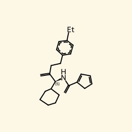 C=C(N[C@H](C(=C)CCc1ccc(CC)cc1)C1CCCCC1)C1=CC=CC1